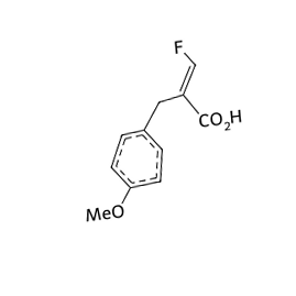 COc1ccc(C/C(=C\F)C(=O)O)cc1